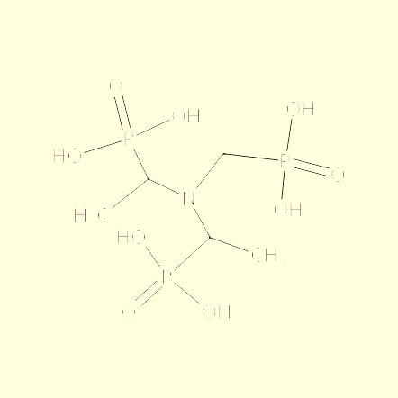 CC(N(CP(=O)(O)O)C(C)P(=O)(O)O)P(=O)(O)O